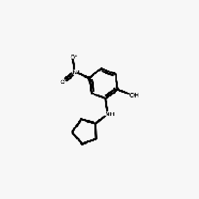 O=[N+]([O-])c1ccc(O)c(NC2CCCC2)c1